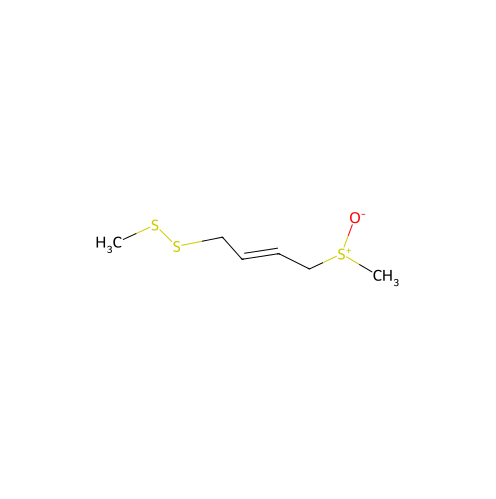 CSSCC=CC[S+](C)[O-]